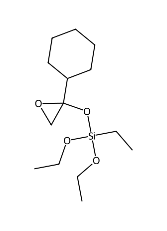 CCO[Si](CC)(OCC)OC1(C2CCCCC2)CO1